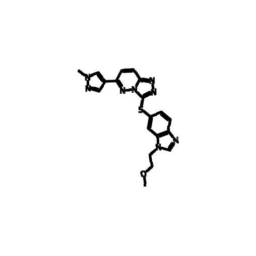 COCCn1cnc2ccc(Sc3nnc4ccc(-c5cnn(C)c5)nn34)cc21